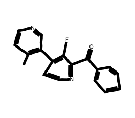 Cc1ccncc1-c1ccnc(C(=O)c2ccccc2)c1F